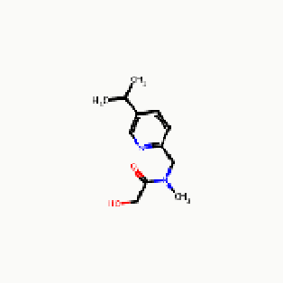 CC(C)c1ccc(CN(C)C(=O)CO)nc1